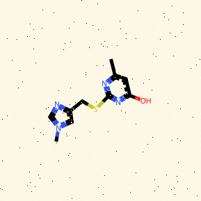 Cc1cc(O)nc(SCc2cn(C)cn2)n1